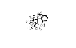 CC(C)(C)CC(C)(c1c(O)cccc1O)C(C)(C)C